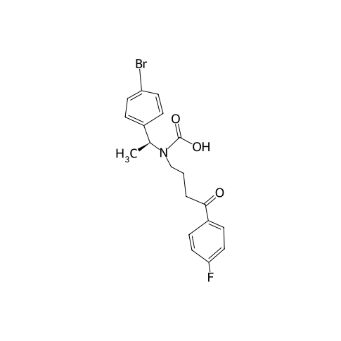 C[C@@H](c1ccc(Br)cc1)N(CCCC(=O)c1ccc(F)cc1)C(=O)O